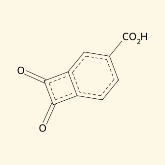 O=C(O)c1ccc2c(=O)c(=O)c2c1